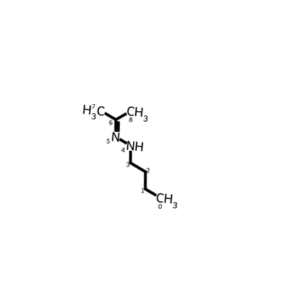 CCCCNN=C(C)C